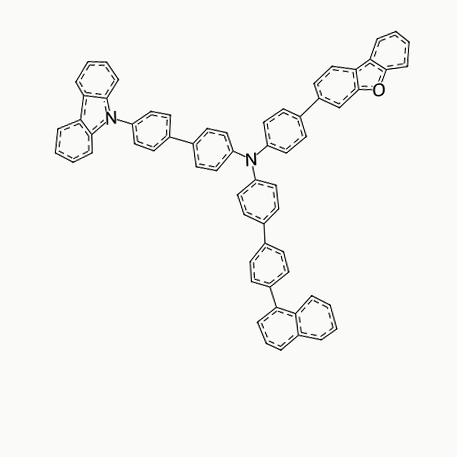 c1ccc2c(-c3ccc(-c4ccc(N(c5ccc(-c6ccc(-n7c8ccccc8c8ccccc87)cc6)cc5)c5ccc(-c6ccc7c(c6)oc6ccccc67)cc5)cc4)cc3)cccc2c1